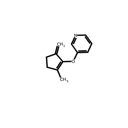 C=C1CCC(C)=C1Oc1cccnc1